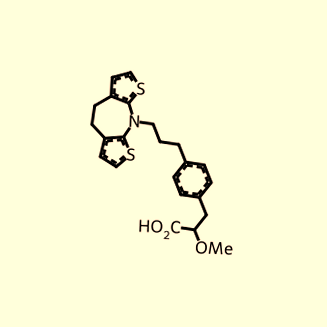 COC(Cc1ccc(CCCN2c3sccc3CCc3ccsc32)cc1)C(=O)O